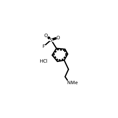 CNCCc1ccc(S(=O)(=O)F)cc1.Cl